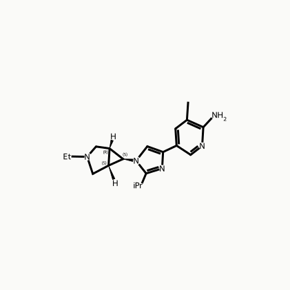 CCN1C[C@@H]2[C@H](C1)[C@H]2n1cc(-c2cnc(N)c(C)c2)nc1C(C)C